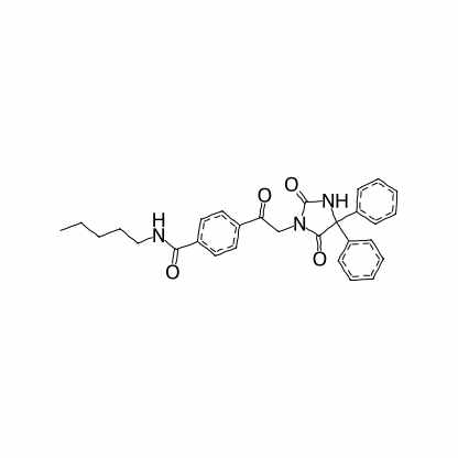 CCCCCNC(=O)c1ccc(C(=O)CN2C(=O)NC(c3ccccc3)(c3ccccc3)C2=O)cc1